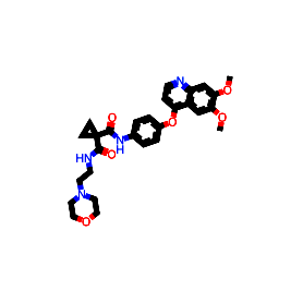 COc1cc2nccc(Oc3ccc(NC(=O)C4(C(=O)NCCN5CCOCC5)CC4)cc3)c2cc1OC